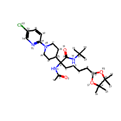 CC(=O)NC(CCCCB1OC(C)(C)C(C)(C)O1)(C(=O)NC(C)(C)C)C1CCN(c2ccc(Cl)cn2)CC1